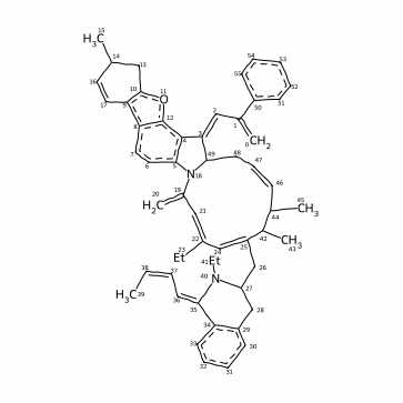 C=C(/C=C1/c2c(ccc3c4c(oc23)CC(C)C=C4)N2C(=C)/C=C(CC)/C=C(/CC3Cc4ccccc4/C(=C/C=C\C)N3CC)C(C)C(C)C=CCC12)c1ccccc1